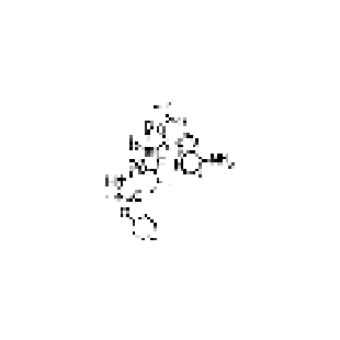 CO[C@](C#N)(COCN[C@@H](C)C(=O)OC1CCOCC1)[C@@H](OC(=O)C(C)C)[C@@H](OC(=O)C(C)C)c1ccc2c(N)ncnn12